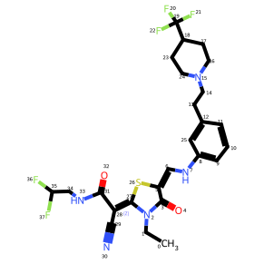 CCn1c(=O)c(=CNc2cccc(CCN3CCC(C(F)(F)F)CC3)c2)s/c1=C(/C#N)C(=O)NCC(F)F